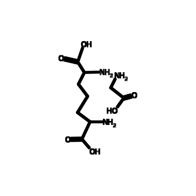 NC(CCCC(N)C(=O)O)C(=O)O.NCC(=O)O